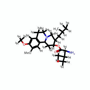 [2H]c1c(OC)c(OC([2H])([2H])[2H])c([2H])c2c1C1N(C([2H])([2H])C2([2H])[2H])C([2H])([2H])C([2H])(C([2H])([2H])C([2H])(C)C([2H])([2H])[2H])C([2H])(OC(=O)[C@@]([2H])(N)C([2H])(C([2H])([2H])[2H])C([2H])([2H])[2H])C1([2H])[2H]